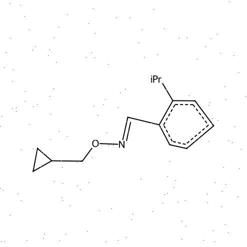 CC(C)c1ccccc1/C=N/OCC1CC1